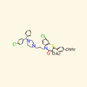 COc1ccc([C@@H]2Sc3cc(Cl)ccc3N(CCCN3CCN(C(c4ccccc4)c4ccc(Cl)cc4)CC3)C(=O)[C@@H]2OC(C)=O)cc1